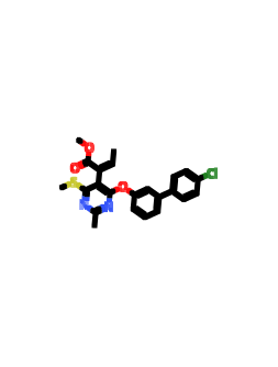 CC=C(C(=O)OC)c1c(Oc2cccc(-c3ccc(Cl)cc3)c2)nc(C)nc1SC